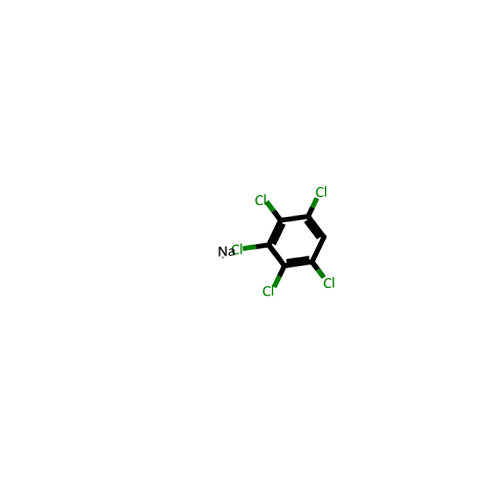 Clc1cc(Cl)c(Cl)c(Cl)c1Cl.[Na]